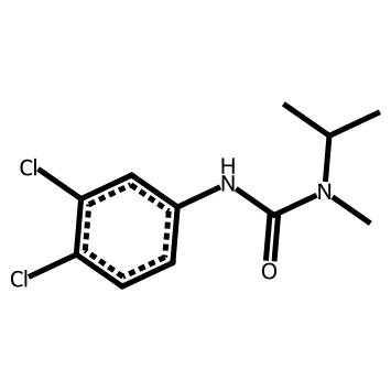 CC(C)N(C)C(=O)Nc1ccc(Cl)c(Cl)c1